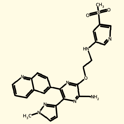 Cn1ccc(-c2nc(N)c(OCCNc3cncc(S(C)(=O)=O)c3)nc2-c2ccc3ncccc3c2)n1